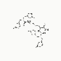 CN1C=CN(CC(CN2C=CN(C)C2)C(=O)NCCCCC(NC(=O)C(CN2C=CN(C)C2)CN2C=CN(C)C2)C(=O)O)C1